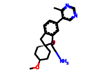 CO[C@H]1CC[C@]2(CC1)Cc1ccc(-c3cncnc3C)cc1[C@@]21COC(N)=N1